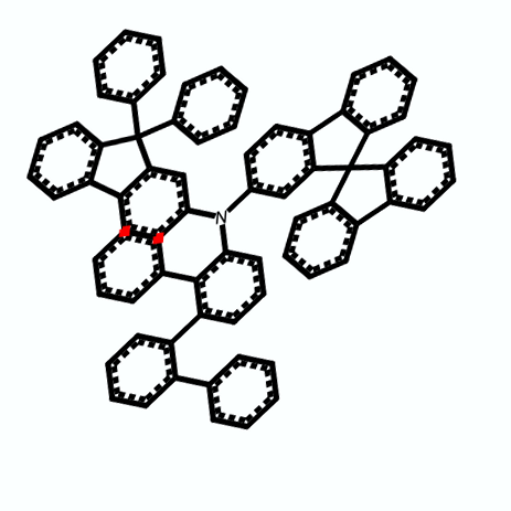 c1ccc(-c2ccccc2-c2cccc(N(c3ccc4c(c3)C(c3ccccc3)(c3ccccc3)c3ccccc3-4)c3ccc4c(c3)C3(c5ccccc5-c5ccccc53)c3ccccc3-4)c2-c2ccccc2)cc1